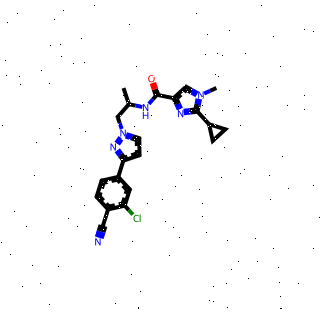 CC(Cn1ccc(-c2ccc(C#N)c(Cl)c2)n1)NC(=O)c1cn(C)c(C2CC2)n1